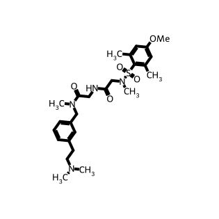 COc1cc(C)c(S(=O)(=O)N(C)CC(=O)NCC(=O)N(C)Cc2cccc(CCN(C)C)c2)c(C)c1